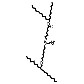 CCCCCCCCCCC(CCCCCCCC)COCCCCCCCCN(CCCCCCCC(=O)OCC(CCCCCCCC)CCCCCCCCCC)CCN(C)C